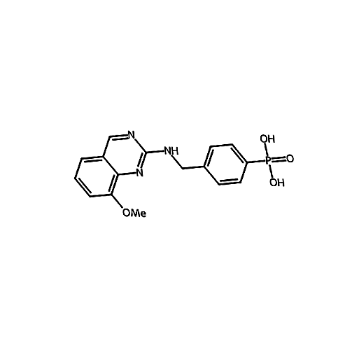 COc1cccc2cnc(NCc3ccc(P(=O)(O)O)cc3)nc12